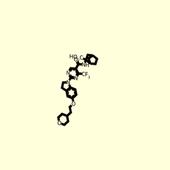 O=C(NC1(C(=O)O)CC2CCC1C2)c1cnc(N2CCc3cc(OCCC4CCOCC4)ccc32)nc1C(F)(F)F